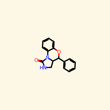 O=C1NCC2C(c3ccccc3)Oc3ccccc3N12